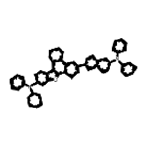 c1ccc(N(c2ccccc2)c2ccc3cc(-c4ccc5c(c4)c4ccccc4c4c6ccc(N(c7ccccc7)c7ccccc7)cc6oc54)ccc3c2)cc1